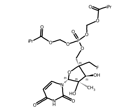 CC(C)C(=O)OCOP(=O)(OCOC(=O)C(C)C)OC[C@@]1(CF)O[C@@H](n2ccc(=O)[nH]c2=O)[C@](C)(O)[C@@H]1O